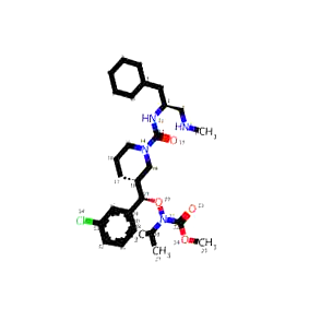 CNC[C@H](CC1CCCCC1)NC(=O)N1CCC[C@@H]([C@@H](ON(C(=O)OC)C(C)C)c2cccc(Cl)c2)C1